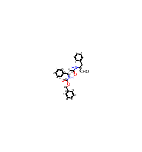 O=C[C@H](Cc1ccccc1)NC(=O)C[C@H](NC(=O)OCc1ccccc1)c1ccccc1